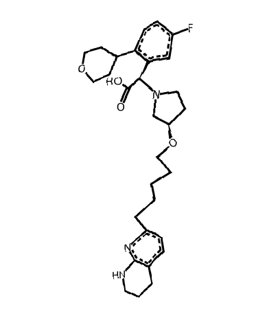 O=C(O)[C@@H](c1cc(F)ccc1C1CCOCC1)N1CC[C@@H](OCCCCCc2ccc3c(n2)NCCC3)C1